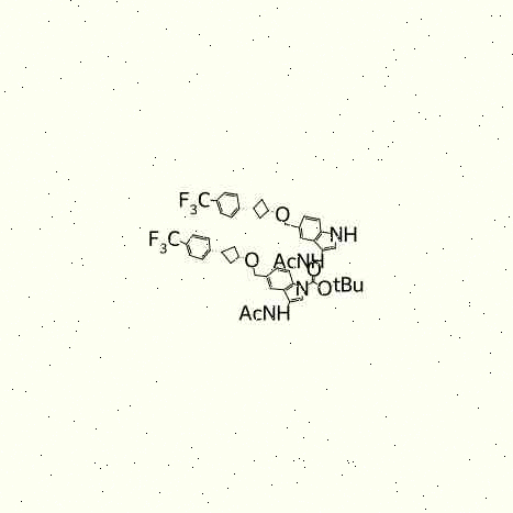 CC(=O)Nc1c[nH]c2ccc(CO[C@H]3C[C@@H](c4ccc(C(F)(F)F)cc4)C3)cc12.CC(=O)Nc1cn(C(=O)OC(C)(C)C)c2ccc(CO[C@H]3C[C@@H](c4ccc(C(F)(F)F)cc4)C3)cc12